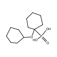 O=P(O)(O)C1(OC2CCCCC2)CCCCC1